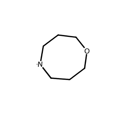 C1C[N]CCCOC1